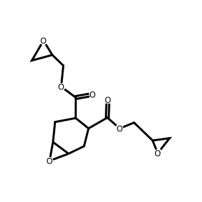 O=C(OCC1CO1)C1CC2OC2CC1C(=O)OCC1CO1